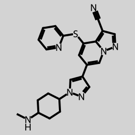 CNC1CCC(n2cc(-c3cc(Sc4ccccn4)c4c(C#N)cnn4c3)cn2)CC1